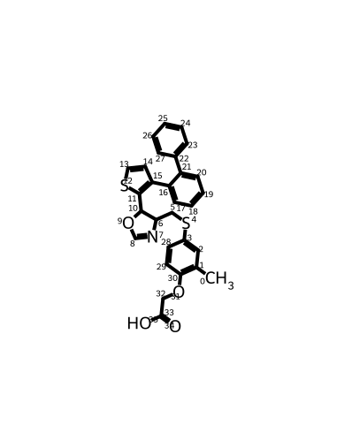 Cc1cc(SCC2N=COC2c2sccc2-c2ccccc2-c2ccccc2)ccc1OCC(=O)O